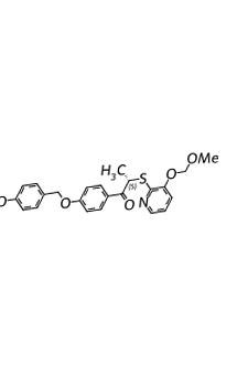 COCOc1cccnc1S[C@@H](C)C(=O)c1ccc(OCc2ccc(OC)cc2)cc1